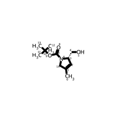 CC1=C[C@@H](CO)N(C(=O)OC(C)(C)C)C1